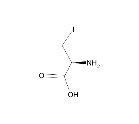 N[C@H](CI)C(=O)O